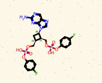 Nc1ncc2ncn([C@@H]3C[C@H](COP(=O)(O)Oc4ccc(F)cc4)[C@@H]3COP(=O)(O)Oc3ccc(F)cc3)c2n1